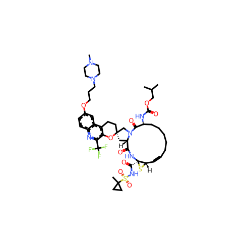 CC(C)COC(=O)N[C@H]1CCCCC/C=C\[C@@H]2S[C@@]2(C(=O)NS(=O)(=O)C2(C)CC2)NC(=O)[C@@H]2C[C@]3(CCc4c(c(C(F)(F)F)nc5ccc(OCCCN6CCN(C)CC6)cc45)O3)CN2C1=O